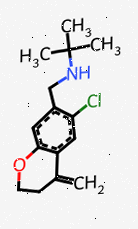 C=C1CCOc2cc(CNC(C)(C)C)c(Cl)cc21